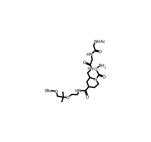 BOC(=O)N1CCC(C(=O)NCCOC(C)(C)COC(C)(C)C)CC1CNC(=O)CNC(=O)CNC(C)=O